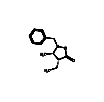 CC[C@H]1C(=O)ON(Cc2ccccc2)[C@@H]1C